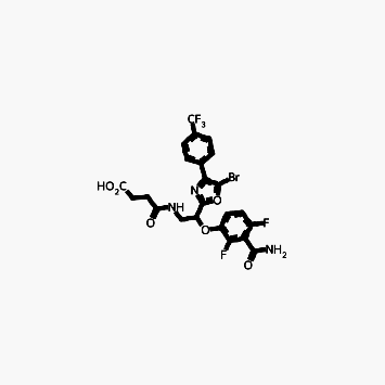 NC(=O)c1c(F)ccc(OC(CNC(=O)CCC(=O)O)c2nc(-c3ccc(C(F)(F)F)cc3)c(Br)o2)c1F